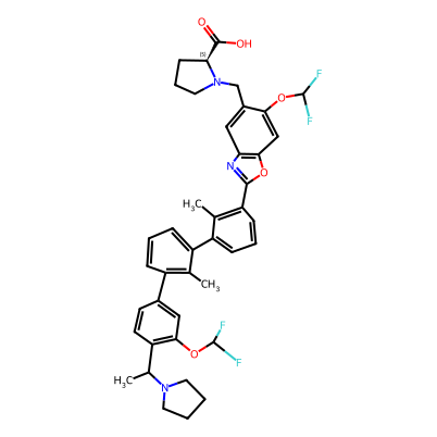 Cc1c(-c2ccc(C(C)N3CCCC3)c(OC(F)F)c2)cccc1-c1cccc(-c2nc3cc(CN4CCC[C@H]4C(=O)O)c(OC(F)F)cc3o2)c1C